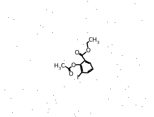 CCOC(=O)c1cccc(I)c1OC(C)=O